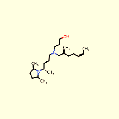 C=C(CC/C=C\C)CN(CCCO)CCC[C@H](C)N1C(C)CCC1C